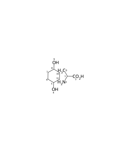 CC(N)C(=O)O.OC1CCC(O)CC1